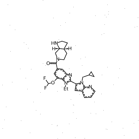 CCn1c(-c2cc3cccnc3n2CC2CC2)nc2cc(C(=O)N3CC[C@H]4CCN[C@H]4C3)cc(OC(F)F)c21